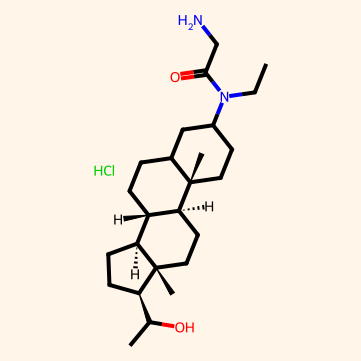 CCN(C(=O)CN)C1CC[C@@]2(C)C(CC[C@H]3[C@@H]4CC[C@H](C(C)O)[C@@]4(C)CC[C@@H]32)C1.Cl